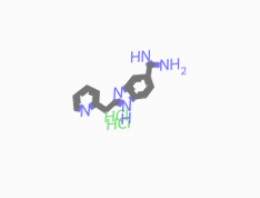 Cl.Cl.N=C(N)c1ccc2[nH]c(Cc3ccccn3)nc2c1